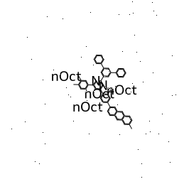 CCCCCCCCc1cc(-c2cc(-c3cc(CCCCCCCC)c(-c4ccc5cc6cc(C)ccc6cc5c4)cc3CCCCCCCC)nc(-c3cc(-c4ccccc4)cc(-c4ccccc4)c3)n2)c(CCCCCCCC)cc1C